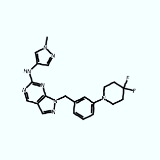 Cn1cc(Nc2ncc3cnn(Cc4cccc(N5CCC(F)(F)CC5)c4)c3n2)cn1